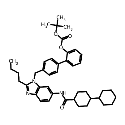 CCCCc1nc2ccc(NC(=O)C3CCC(C4CCCCC4)CC3)cc2n1Cc1ccc(-c2ccccc2OC(=O)OC(C)(C)C)cc1